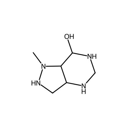 CN1NCC2NCNC(O)C21